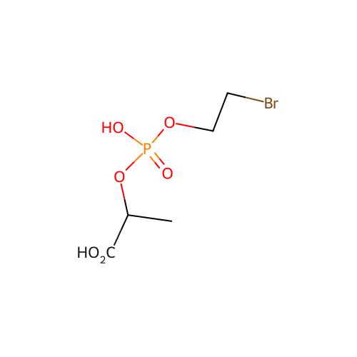 CC(OP(=O)(O)OCCBr)C(=O)O